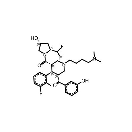 Cc1c(F)cccc1[C@@H]1[C@@H](C(=O)c2cccc(O)c2)CN(CCCCN(C)C)C[C@H]1C(=O)N1C[C@H](O)C[C@H]1C(F)F